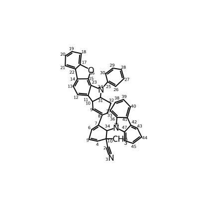 CC1(C#N)C=CC=C(C2=CC3c4ccc5c(oc6ccccc65)c4N(c4ccccc4)C3CC2)C1n1c2ccccc2c2ccccc21